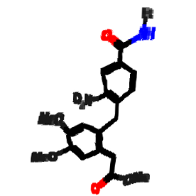 CCNC(=O)c1ccc(Cc2cc(OC)c(OC)cc2CC(=O)OC)c([N+](=O)[O-])c1